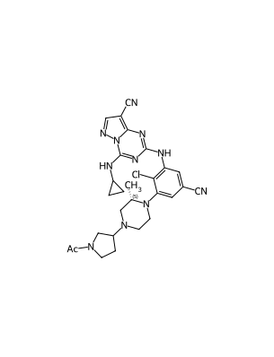 CC(=O)N1CCC(N2CCN(c3cc(C#N)cc(Nc4nc(NC5CC5)n5ncc(C#N)c5n4)c3Cl)[C@@H](C)C2)C1